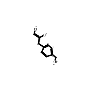 OCc1ccc(CC(Cl)=CCl)cc1